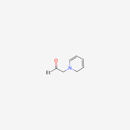 CCC(=O)CN1C=CC=CC1